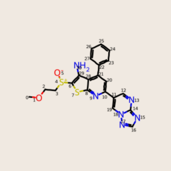 COCC[S+]([O-])c1sc2nc(-c3cnc4ncnn4c3)cc(-c3ccccc3)c2c1N